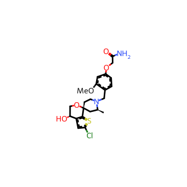 COc1cc(OCC(N)=O)ccc1CN1CC[C@]2(C[C@@H]1C)OC[C@H](O)c1cc(Cl)sc12